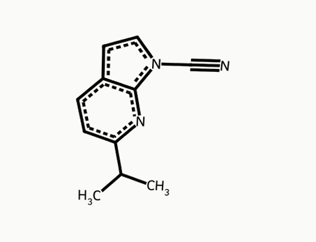 CC(C)c1ccc2ccn(C#N)c2n1